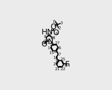 CC(C)(C)OC(=O)N[C@@H]1CC(=O)N(c2ccc(CCc3cccc(F)c3)cc2)C1